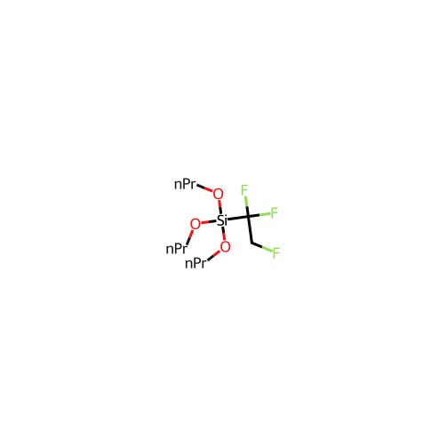 CCCO[Si](OCCC)(OCCC)C(F)(F)CF